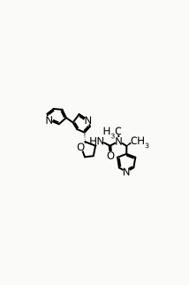 C[C@@H](c1ccncc1)N(C)C(=O)N[C@H]1CCO[C@@H]1c1cncc(-c2cccnc2)c1